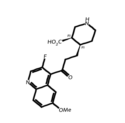 COc1ccc2ncc(F)c(C(=O)CC[C@@H]3CCNC[C@@H]3C(=O)O)c2c1